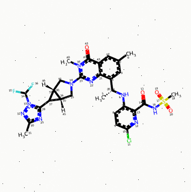 Cc1cc([C@@H](C)Nc2ccc(Cl)nc2C(=O)NS(C)(=O)=O)c2nc(N3C[C@@H]4C(c5nc(C)nn5C(F)F)[C@@H]4C3)n(C)c(=O)c2c1